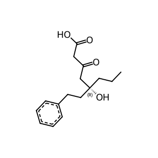 CCC[C@@](O)(CCc1ccccc1)CC(=O)CC(=O)O